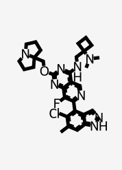 Cc1cc2[nH]ncc2c(-c2ncc3c(NCC4(N(C)C)CCC4)nc(OCC45CCCN4CCC5)nc3c2F)c1Cl